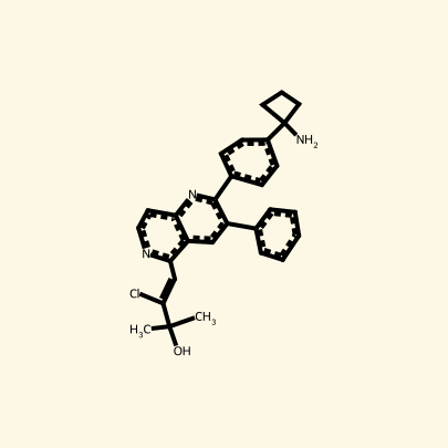 CC(C)(O)C(Cl)=Cc1nccc2nc(-c3ccc(C4(N)CCC4)cc3)c(-c3ccccc3)cc12